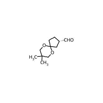 CC1(C)COC2(CC[C@H](C=O)C2)OC1